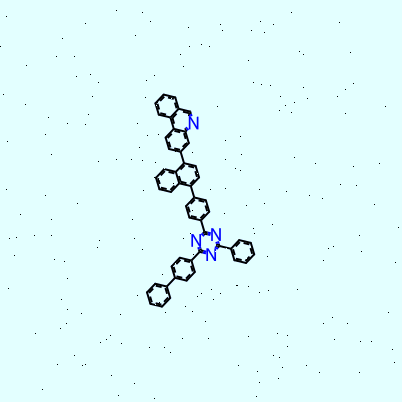 c1ccc(-c2ccc(-c3nc(-c4ccccc4)nc(-c4ccc(-c5ccc(-c6ccc7c(c6)ncc6ccccc67)c6ccccc56)cc4)n3)cc2)cc1